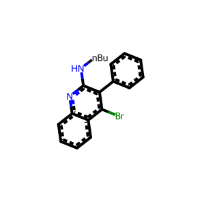 CCCCNc1nc2ccccc2c(Br)c1-c1ccccc1